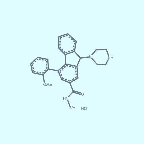 CCCNC(=O)c1cc(-c2ccccc2OC)c2c(c1)C(N1CCNCC1)c1ccccc1-2.Cl